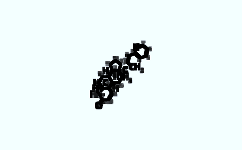 C/C(=C\c1ccccn1)[C@H]1CC[C@H]2[C@@H]3CC[C@H]4NC(=O)C=C[C@]4(C)[C@H]3CC[C@]12C